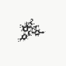 C#Cc1ccc(C2=N[C@@H](c3ccc(Cl)cc3)[C@@H](c3ccc(Cl)cc3)N2C(=O)N2CCNC(=O)C2)c(OCC)c1